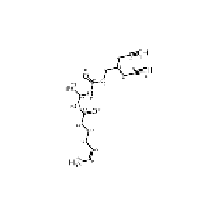 C#CCC(CC#C)COC(=O)OC(OC(=O)CCC/C=C\C)C(C)C